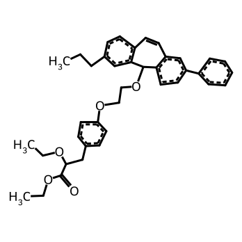 CCCc1ccc2c(c1)C(OCCOc1ccc(CC(OCC)C(=O)OCC)cc1)c1ccc(-c3ccccc3)cc1C=C2